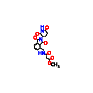 COC(=O)CC(=O)NCc1cccc2c1C(=O)N(C1CCC(=O)NC1=O)C2=O